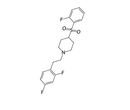 O=S(=O)(c1ccccc1F)C1CCN(CCc2ccc(F)cc2F)CC1